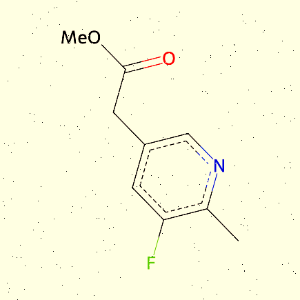 COC(=O)Cc1cnc(C)c(F)c1